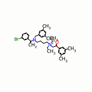 C=C(c1cccc(Br)c1)N(CCCC[N+](CC)(CC)CC(=O)c1cc(C)cc(C)c1)Cc1cc(C)cc(C)c1